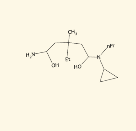 CCCN(C(O)CC(C)(CC)CC(N)O)C1CC1